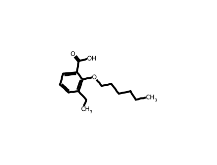 CCCCCCOc1c(CC)cccc1C(=O)O